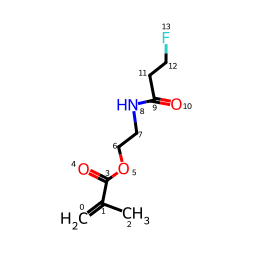 C=C(C)C(=O)OCCNC(=O)CCF